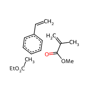 C=C(C)C(=O)OC.C=Cc1ccccc1.CCOC(C)=O